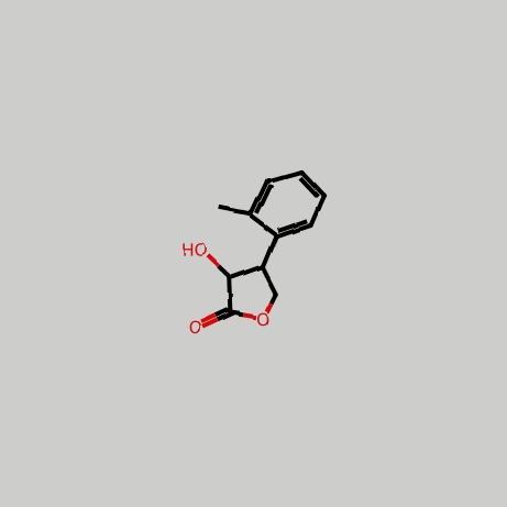 Cc1ccccc1C1COC(=O)C1O